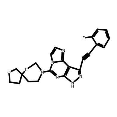 Fc1ccccc1C#Cc1n[nH]c2nc(N3CCC4(CCOC4)CC3)n3ccnc3c12